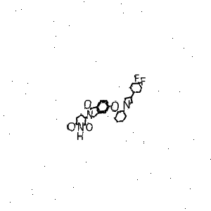 O=C1CCC(N2Cc3cc(O[C@H]4CCCC[C@H]4N4CC(C5CCC(F)(F)CC5)C4)ccc3C2=O)C(=O)N1